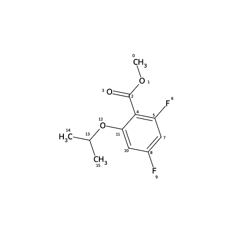 COC(=O)c1c(F)cc(F)cc1OC(C)C